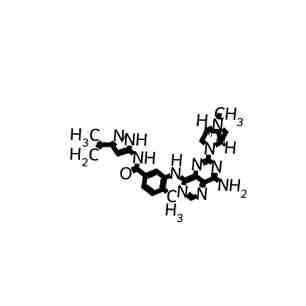 C=C(C)c1cc(NC(=O)c2ccc(C)c(Nc3ncnc4c(N)nc(N5C[C@H]6C[C@@H]5CN6C)nc34)c2)[nH]n1